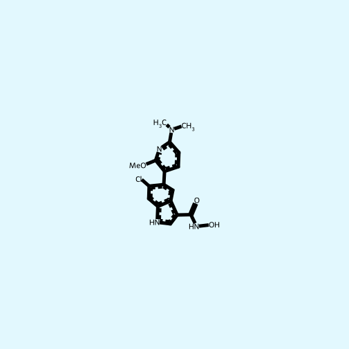 COc1nc(N(C)C)ccc1-c1cc2c(C(=O)NO)c[nH]c2cc1Cl